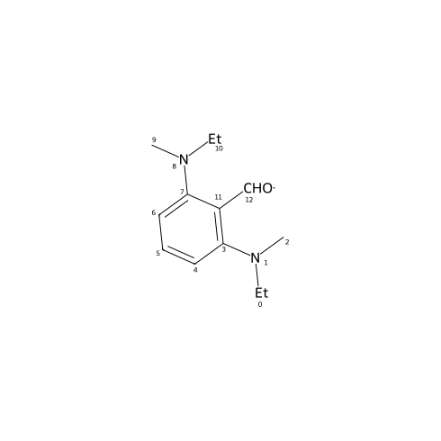 CCN(C)c1cccc(N(C)CC)c1[C]=O